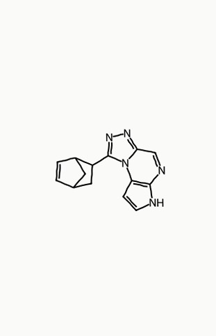 C1=CC2CC1CC2c1nnc2cnc3[nH]ccc3n12